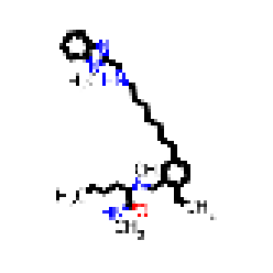 C=CCCC(C(=O)NC)N(C)Cc1cc(CCCCCCCNCc2nc3ccccc3n2C)ccc1C=C